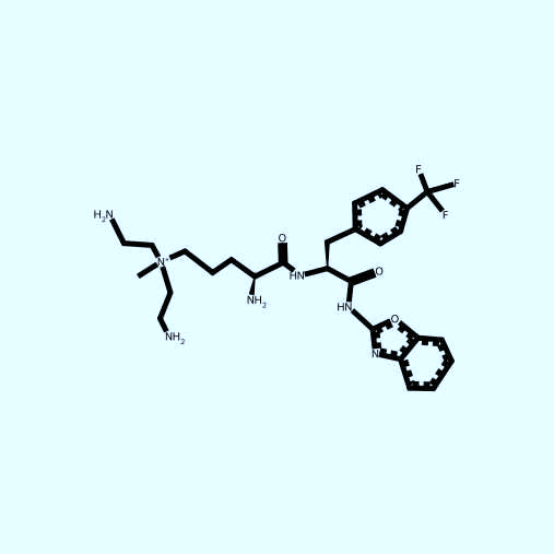 C[N+](CCN)(CCN)CCC[C@H](N)C(=O)N[C@@H](Cc1ccc(C(F)(F)F)cc1)C(=O)Nc1nc2ccccc2o1